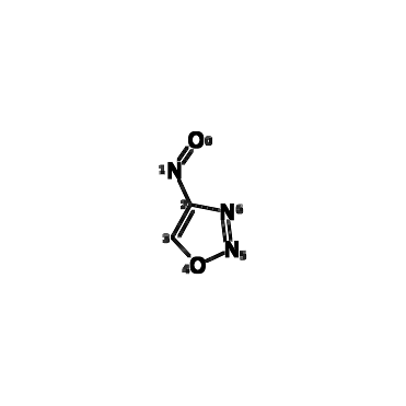 O=Nc1conn1